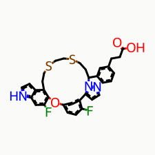 O=C(O)CCc1cccc(C2CCSCCSCCc3c(c(F)cc4[nH]ccc34)Oc3ccc(F)c(c3)-c3ccnn32)c1